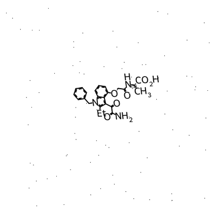 CCc1c(C(=O)C(N)=O)c2c(OCC(=O)N[C@@H](C)C(=O)O)cccc2n1Cc1ccccc1